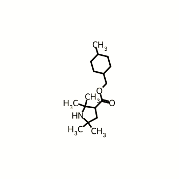 CC1CCC(COC(=O)C2CC(C)(C)NC2(C)C)CC1